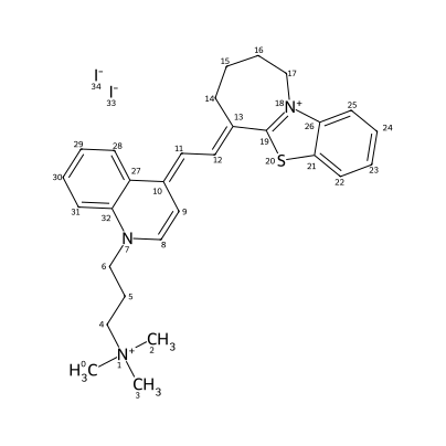 C[N+](C)(C)CCCN1C=CC(=CC=C2CCCC[n+]3c2sc2ccccc23)c2ccccc21.[I-].[I-]